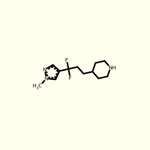 Cn1cc(C(F)(F)CCC2CCNCC2)cn1